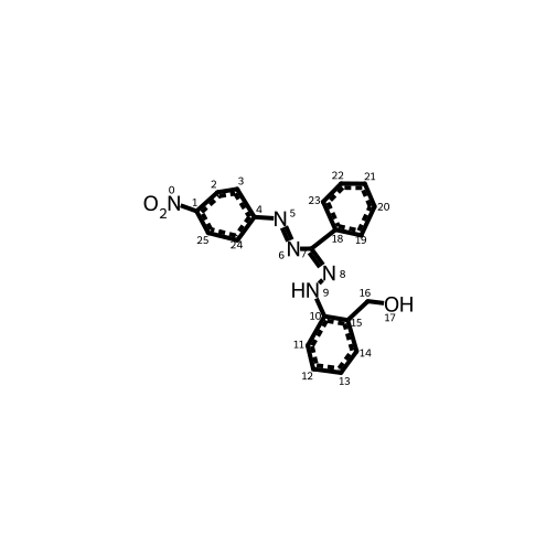 O=[N+]([O-])c1ccc(/N=N/C(=N\Nc2ccccc2CO)c2ccccc2)cc1